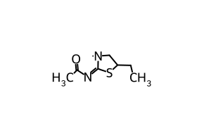 CCC1C[N]C(=NC(C)=O)S1